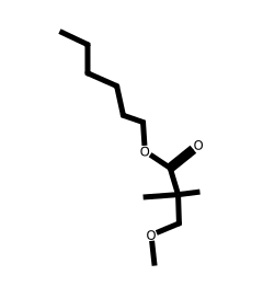 CCCCCCOC(=O)C(C)(C)COC